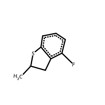 C[C]1Cc2c(F)cccc2S1